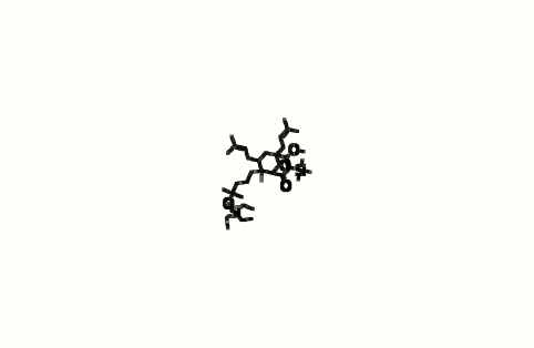 CC[Si](CC)(CC)OC(C)(C)CCCC1(C)C(CC=C(C)C)CC2(CC=C(C)C)C(=O)C1C(=O)C([Si](C)(C)C)=C2OC